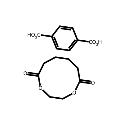 O=C(O)c1ccc(C(=O)O)cc1.O=C1CCCCC(=O)OCCO1